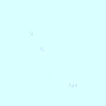 CN(C)c1nc2c(C(N)=O)[c]ccc2s1